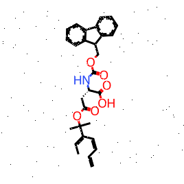 C=C/C=C\C(=C/C)C(C)(C)OC(=O)C[C@H](NC(=O)OCC1c2ccccc2-c2ccccc21)C(=O)O